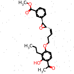 CCCc1c(OCC/C=C\[C@@H]2O[C@H]2c2cccc(C(=O)OC)c2)ccc(C(C)=O)c1O